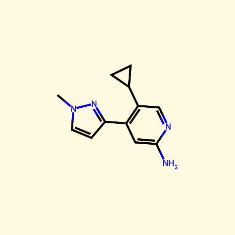 Cn1ccc(-c2cc(N)ncc2C2CC2)n1